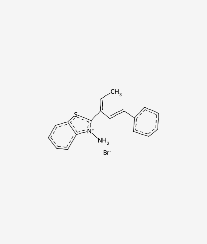 CC=C(C=Cc1ccccc1)c1sc2ccccc2[n+]1N.[Br-]